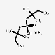 CC(C)(C)CC(C)(C)OP(=O)(S)SC(C)(C)CC(C)(C)C.[SnH2]